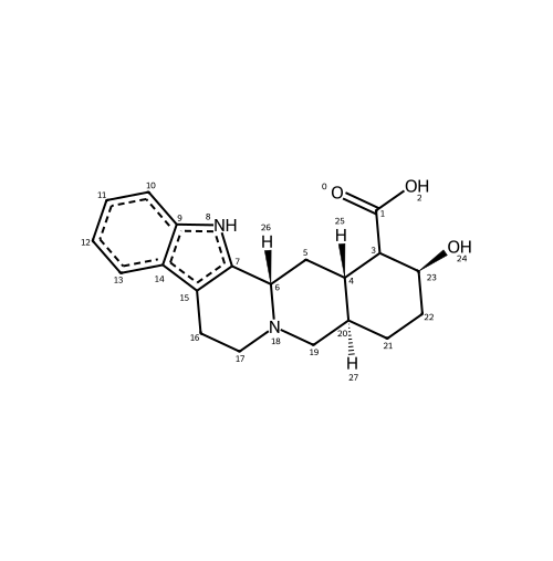 O=C(O)C1[C@H]2C[C@H]3c4[nH]c5ccccc5c4CCN3C[C@@H]2CC[C@@H]1O